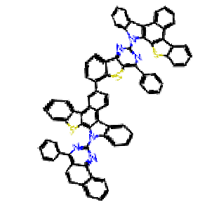 C1=CC2Sc3c(c4ccccc4c4c5ccccc5n(-c5nc(-c6ccccc6)c6sc7c(-c8ccc9c(c8)c8c%10ccccc%10sc8c8c9c9ccccc9n8-c8nc(-c9ccccc9)c9ccc%10ccccc%10c9n8)cccc7c6n5)c34)C2C=C1